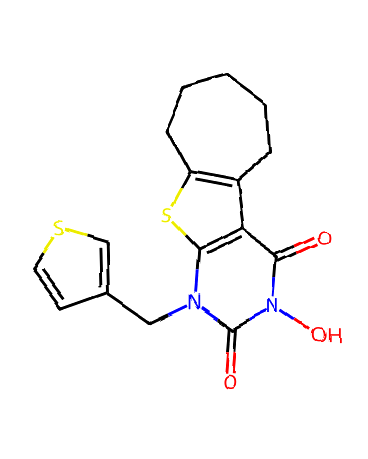 O=c1c2c3c(sc2n(Cc2ccsc2)c(=O)n1O)CCCCC3